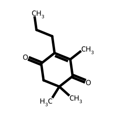 CCCC1=C(C)C(=O)C(C)(C)CC1=O